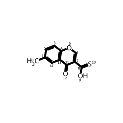 Cc1ccc2occ(C(O)=S)c(=O)c2c1